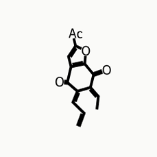 C=C/C=C1/C(=O)c2cc(C(C)=O)oc2C(=O)/C1=C/C